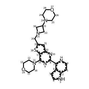 c1cc2[nH]ccc2c(-c2nc(N3CCOCC3)c3sc(CN4CC(N5CCOCC5)C4)cc3n2)n1